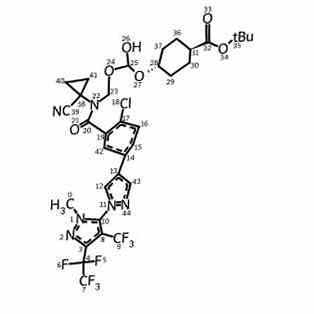 Cn1nc(C(F)(F)C(F)(F)F)c(C(F)(F)F)c1-n1cc(-c2ccc(Cl)c(C(=O)N(COC(O)O[C@H]3CC[C@H](C(=O)OC(C)(C)C)CC3)C3(C#N)CC3)c2)cn1